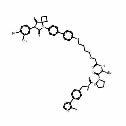 Cc1ncoc1-c1ccc(CNC(=O)[C@@H]2CCCN2C(=O)[C@@H](NC(=O)COCCCCOc2ccc(-c3ccc(N4C(=S)N(c5ccc(C#N)c(C(F)(F)F)c5)C(=O)C45CCC5)cc3)cc2)C(C)(C)C)cc1